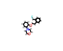 FCc1ccccc1CCO[C@H]1CCCC[C@H]1N1CCOCC1